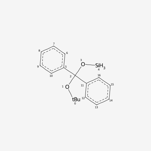 CC(C)(C)OC(O[SiH3])(c1ccccc1)c1ccccc1